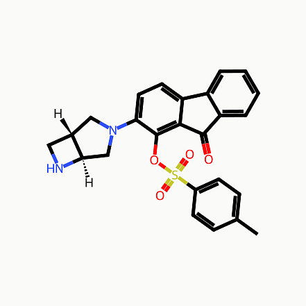 Cc1ccc(S(=O)(=O)Oc2c(N3C[C@H]4CN[C@@H]4C3)ccc3c2C(=O)c2ccccc2-3)cc1